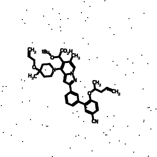 C=CCOC1(C)CCN(c2c(C(OC(C)(C)C)C(=O)O)c(C)cn3nc(-c4cccc(-c5cc(C#N)ccc5OC(C)CC=C)c4)cc23)CC1